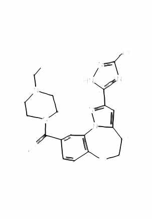 CC(C)c1n[nH]c(-c2cc3n(n2)-c2cc(C(=O)N4CCN(CC(F)(F)F)CC4)ccc2OCC3)n1